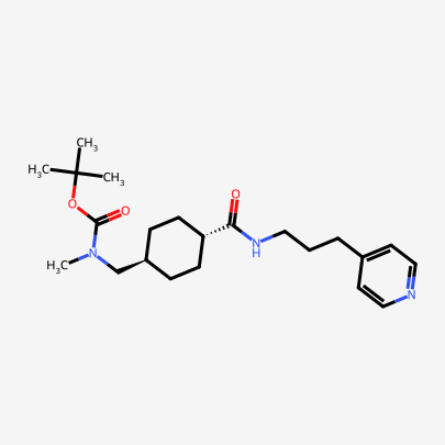 CN(C[C@H]1CC[C@H](C(=O)NCCCc2ccncc2)CC1)C(=O)OC(C)(C)C